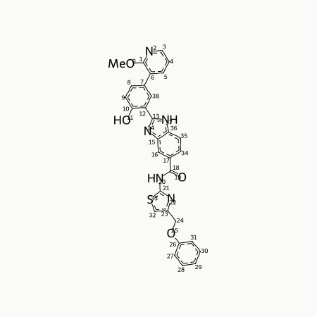 COc1ncccc1-c1ccc(O)c(-c2nc3cc(C(=O)Nc4nc(COc5ccccc5)cs4)ccc3[nH]2)c1